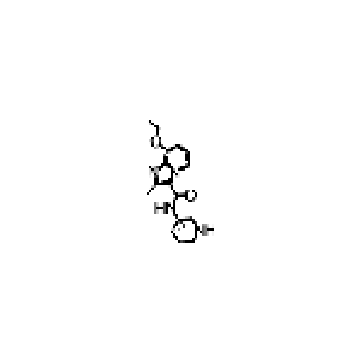 CCOc1cccn2c(C(=O)N[C@@H]3CCCNC3)c(C)nc12